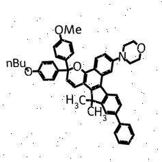 CCCCOc1ccc(C2(c3ccc(OC)cc3)C=Cc3c4c(c5cc(N6CCOCC6)ccc5c3O2)-c2ccc(-c3ccccc3)cc2C4(C)C)cc1